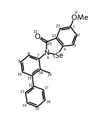 COc1ccc2[se]n(-c3cccc(-c4ccccc4)c3C)c(=O)c2c1